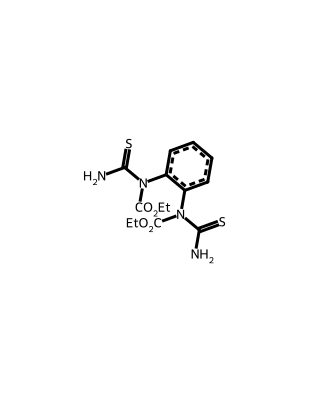 CCOC(=O)N(C(N)=S)c1ccccc1N(C(=O)OCC)C(N)=S